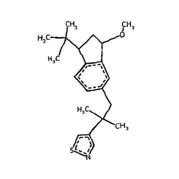 COC1CC(C(C)(C)C)c2ccc(CC(C)(C)c3cnsc3)cc21